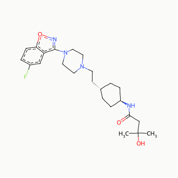 CC(C)(O)CC(=O)N[C@H]1CC[C@H](CCN2CCN(c3noc4ccc(F)cc34)CC2)CC1